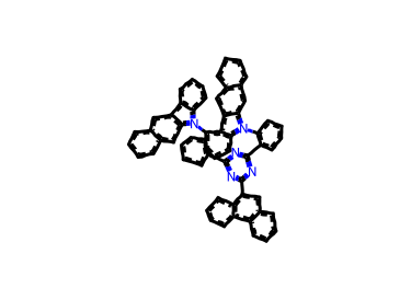 c1ccc(-c2nc(-c3ccccc3-n3c4cc5ccccc5cc4c4c(-n5c6ccccc6c6cc7ccccc7cc65)cccc43)nc(-c3cc4ccccc4c4ccccc34)n2)cc1